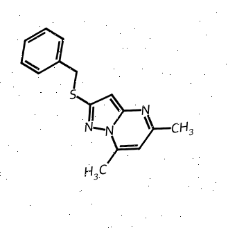 Cc1cc(C)n2nc(SCc3ccccc3)cc2n1